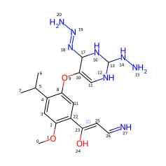 COc1cc(C(C)C)c(OC2=CNC(NN)NC2N=NN)cc1/C(O)=C/C=N